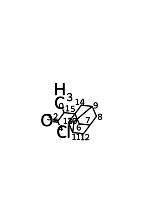 CC(C(=O)Cl)C12CC3CC(CC(C3)C1)C2